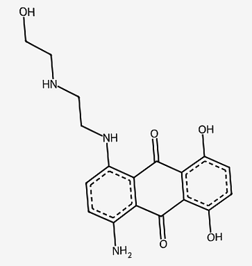 Nc1ccc(NCCNCCO)c2c1C(=O)c1c(O)ccc(O)c1C2=O